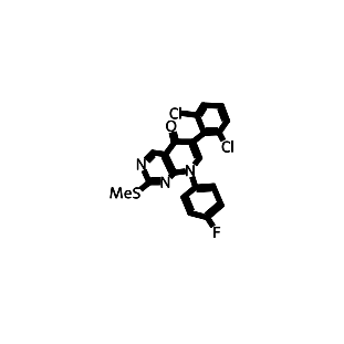 CSc1ncc2c(=O)c(-c3c(Cl)cccc3Cl)cn(-c3ccc(F)cc3)c2n1